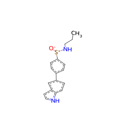 CCCN[S+]([O-])c1ccc(-c2ccc3[nH]ccc3c2)cc1